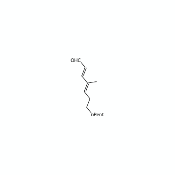 CCCCCCC/C=C(C)/C=C/C=O